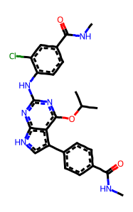 CNC(=O)c1ccc(-c2c[nH]c3nc(Nc4ccc(C(=O)NC)cc4Cl)nc(OC(C)C)c23)cc1